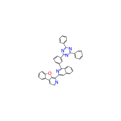 c1ccc(-c2nc(-c3ccccc3)nc(-c3cccc(-c4nc(-c5nccc6c5oc5ccccc56)cc5ccccc45)c3)n2)cc1